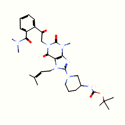 CC(C)=CCn1c(N2CCCC(NC(=O)OC(C)(C)C)C2)nc2c1c(=O)n(CC(=O)c1ccccc1C(=O)N(C)C)c(=O)n2C